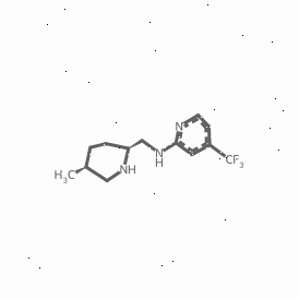 C[C@H]1CC[C@@H](CNc2cc(C(F)(F)F)ccn2)NC1